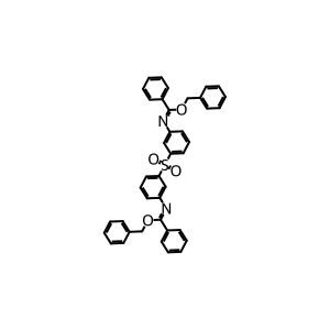 O=S(=O)(c1cccc(/N=C(\OCc2ccccc2)c2ccccc2)c1)c1cccc(/N=C(\OCc2ccccc2)c2ccccc2)c1